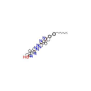 CCCCCCCCc1ccc(-c2ccc(-c3cnc4c(c3)C3(c5cc(C6=NC7=NC(c8cnc9c(c8)C8(c%10cc(O)cnc%10-9)C9(C(CC)CC)CCC8(C(CC)CC)CC9)=NC7=N6)cnc5-4)C4(C(CC)CC)CCC3(C(CC)CC)CC4)cc2)cc1